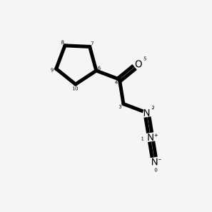 [N-]=[N+]=NCC(=O)C1CCCC1